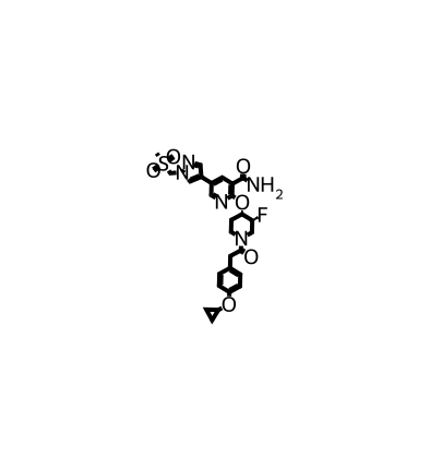 CS(=O)(=O)Cn1cc(-c2cnc(O[C@H]3CCN(C(=O)Cc4ccc(OC5CC5)cc4)C[C@@H]3F)c(C(N)=O)c2)cn1